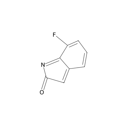 O=C1C=c2cccc(F)c2=N1